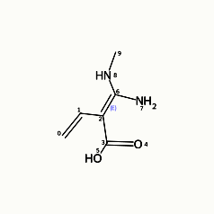 C=C/C(C(=O)O)=C(/N)NC